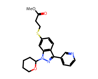 COC(=O)CCSc1ccc2c(-c3cccnc3)nn(C3CCCCO3)c2c1